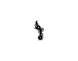 CCCOc1ccc(C(=O)OCCOc2ccccc2)cc1C